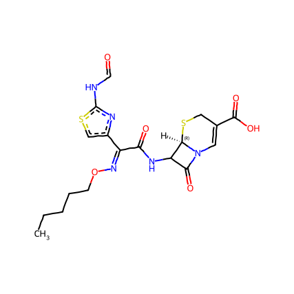 CCCCCON=C(C(=O)NC1C(=O)N2C=C(C(=O)O)CS[C@H]12)c1csc(NC=O)n1